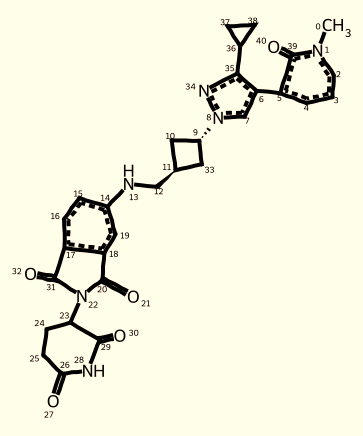 Cn1cccc(-c2cn([C@H]3C[C@H](CNc4ccc5c(c4)C(=O)N(C4CCC(=O)NC4=O)C5=O)C3)nc2C2CC2)c1=O